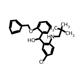 CC(C)(C)CNc1ccc(Cl)cc1C(O)c1ccccc1OCc1ccccc1